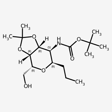 CCC[C@H]1O[C@H](CO)[C@@H]2OC(C)(C)O[C@@H]2[C@H]1NC(=O)OC(C)(C)C